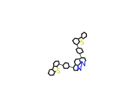 c1ccc2c(c1)sc1c(-c3ccc(-c4ccnc5c4ccc4c(-c6ccc(-c7cccc8c7sc7ccccc78)cc6)ccnc45)cc3)cccc12